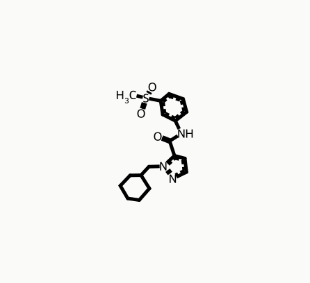 CS(=O)(=O)c1cccc(NC(=O)c2ccnn2CC2CCCCC2)c1